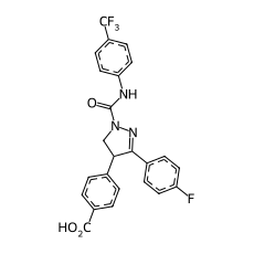 O=C(O)c1ccc(C2CN(C(=O)Nc3ccc(C(F)(F)F)cc3)N=C2c2ccc(F)cc2)cc1